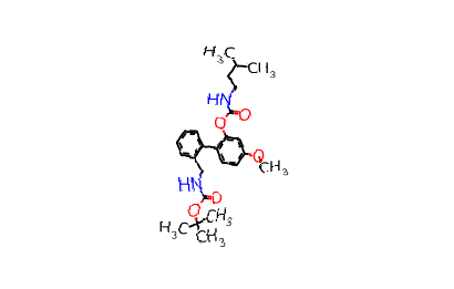 COc1ccc(-c2ccccc2CNC(=O)OC(C)(C)C)c(OC(=O)NCCC(C)C)c1